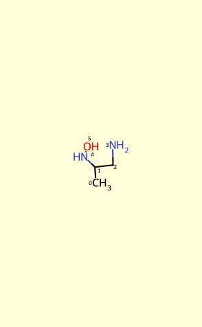 CC(CN)NO